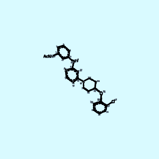 CC(=O)Nc1cccc(Nc2ncnc(N3CCC(Oc4ccccc4Cl)CC3)n2)c1